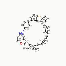 Cc1c2cccc1-c1cccc3oc4cccc(c4c13)Nc1ccc(cc1)-c1ccc3sc4cccc(c4c3c1)-c1ccc(cc1)C1C=CC2=CC1